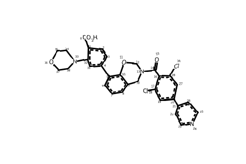 O=C(O)c1ccc(-c2cccc3c2OCN(C(=O)c2c(Cl)cc(-c4ccncc4)cc2Cl)C3)cc1N1CCOCC1